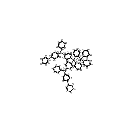 C1=CC(c2ccc(N(c3ccccc3)c3ccc(C4(c5ccc(N(c6ccccc6)c6ccc(-c7ccccc7)cc6)cc5)c5ccccc5C(c5ccccc5)(c5ccccc5)c5ccccc54)cc3)cc2)=CCC1